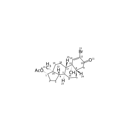 CC(=O)O[C@H]1CC[C@H]2[C@@H]3CC[C@H]4CC(=O)C(Br)=C[C@]4(C)[C@H]3CC[C@]12C